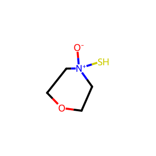 [O-][N+]1(S)CCOCC1